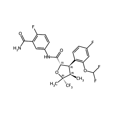 C[C@@H]1[C@H](c2ccc(F)cc2OC(F)F)[C@@H](C(=O)Nc2ccc(F)c(C(N)=O)c2)O[C@@]1(C)C(F)(F)F